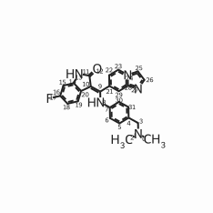 CN(C)Cc1ccc(NC(=C2C(=O)Nc3cc(F)ccc32)c2ccn3ccnc3c2)cc1